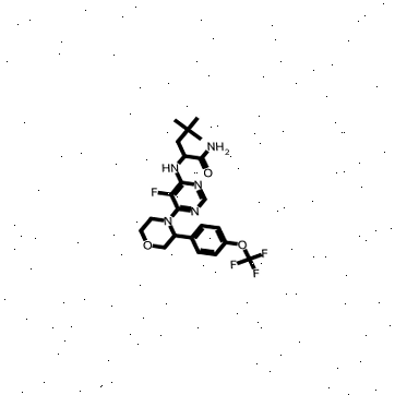 CC(C)(C)CC(Nc1ncnc(N2CCOCC2c2ccc(OC(F)(F)F)cc2)c1F)C(N)=O